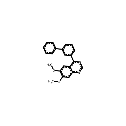 COc1cc2ncnc(-c3cccc(-c4ccccc4)c3)c2cc1OC